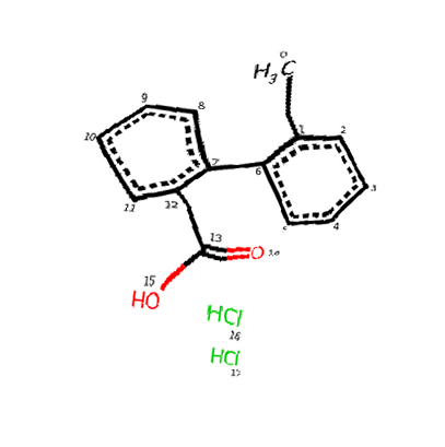 Cc1ccccc1-c1ccccc1C(=O)O.Cl.Cl